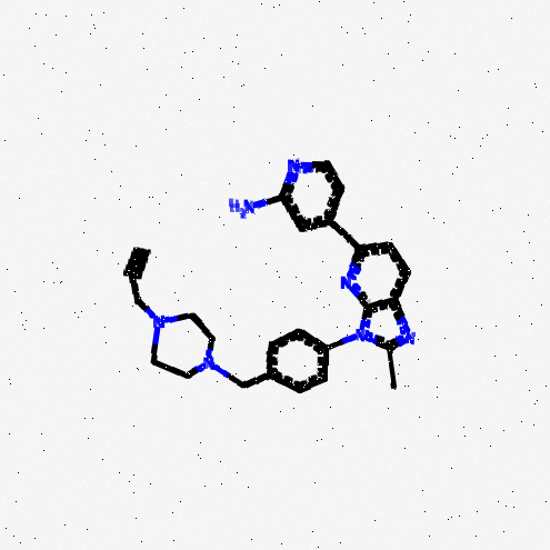 C#CCN1CCN(Cc2ccc(-n3c(C)nc4ccc(-c5ccnc(N)c5)nc43)cc2)CC1